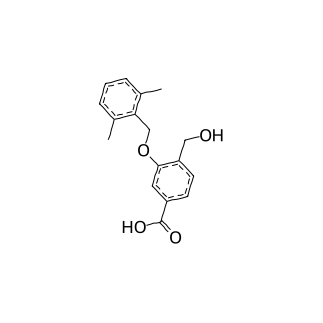 Cc1cccc(C)c1COc1cc(C(=O)O)ccc1CO